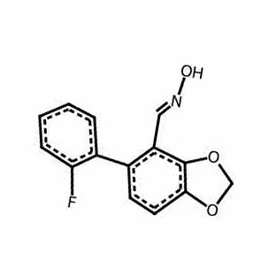 ON=Cc1c(-c2ccccc2F)ccc2c1OCO2